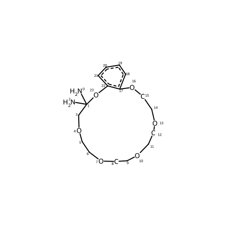 NC1(N)COCCOCCOCCOCCOc2ccccc2O1